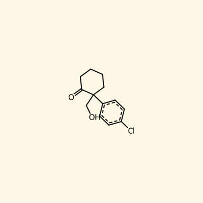 O=C1CCCCC1(CO)c1ccc(Cl)cc1